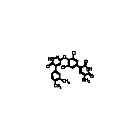 Cc1ccc(-c2cc(Oc3c(Cl)cc(-n4nc(N)c(=O)[nH]c4=O)cc3Cl)n[nH]c2=O)cc1C